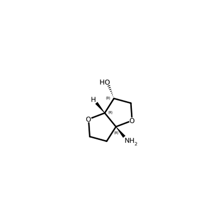 N[C@@]12CCO[C@@H]1[C@H](O)CO2